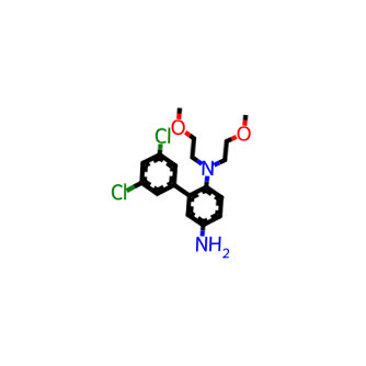 COCCN(CCOC)c1ccc(N)cc1-c1cc(Cl)cc(Cl)c1